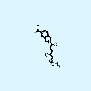 COCC(=O)CCC(=O)N1Cc2ccc(C(F)F)cc2C1